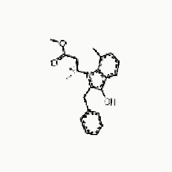 COC(=O)C[C@@H](C)n1c(Cc2ccccc2)c(O)c2cccc(C)c21